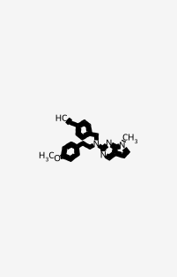 C#Cc1ccc(CN(CCc2ccc(OC)cc2)c2ncc3ccn(C)c3n2)cc1